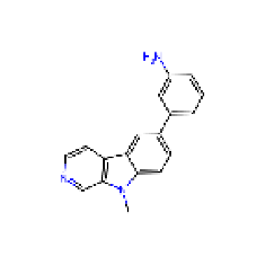 Cn1c2ccc(-c3cccc(N)c3)cc2c2ccncc21